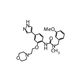 COc1cccc(CN(C)C(=O)Nc2ccc(-c3cn[nH]c3)cc2OCCN2CCOCC2)c1